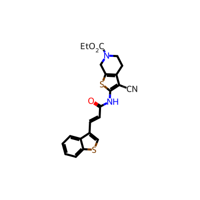 CCOC(=O)N1CCc2c(sc(NC(=O)/C=C/c3csc4ccccc34)c2C#N)C1